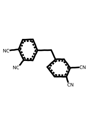 N#Cc1ccc(Cc2ccc(C#N)c(C#N)c2)cc1C#N